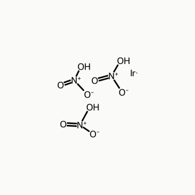 O=[N+]([O-])O.O=[N+]([O-])O.O=[N+]([O-])O.[Ir]